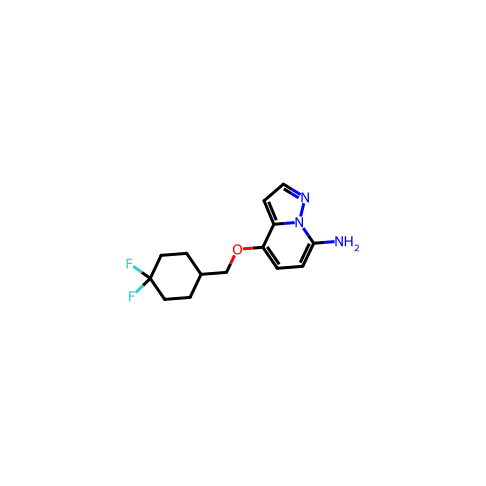 Nc1ccc(OCC2CCC(F)(F)CC2)c2ccnn12